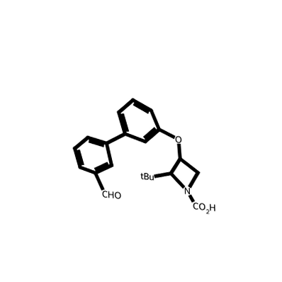 CC(C)(C)C1C(Oc2cccc(-c3cccc(C=O)c3)c2)CN1C(=O)O